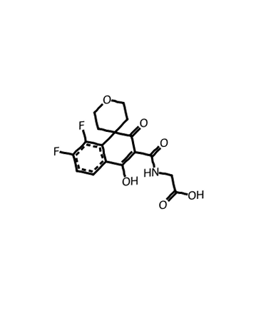 O=C(O)CNC(=O)C1=C(O)c2ccc(F)c(F)c2C2(CCOCC2)C1=O